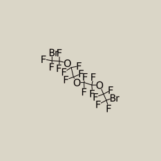 FC(F)(Br)C(F)(F)OC(F)(F)C(F)(F)OC(F)(F)C(F)(F)OC(F)(F)C(F)(F)Br